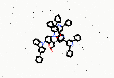 O=c1cc(-c2cc(-c3cc(-c4ccccc4)nc(-c4ccccc4)c3)nc(-c3cc(-c4ccccc4)nc(-c4ccccc4)c3)c2)c2c(-n3c4ccccc4c4cc(-c5ccccc5)ccc43)ccc(-n3c4ccccc4c4cc(-c5ccccc5)ccc43)c2o1